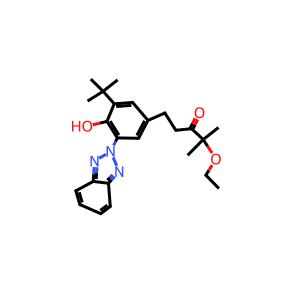 CCOC(C)(C)C(=O)CCc1cc(-n2nc3ccccc3n2)c(O)c(C(C)(C)C)c1